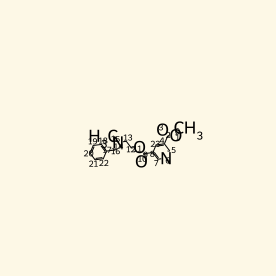 COC(=O)c1cncc(C(=O)OCCN(C)Cc2ccccc2)c1